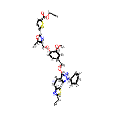 CCOC(=O)c1ccc(-c2nc(COc3ccc(COc4nn(-c5ccccc5)cc4/C=C\c4csc(CC)n4)cc3OC)c(C)o2)s1